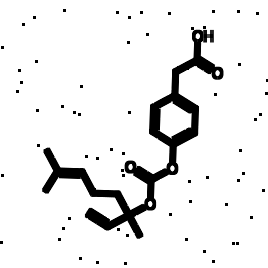 C=CC(C)(CCC=C(C)C)OC(=O)Oc1ccc(CC(=O)O)cc1